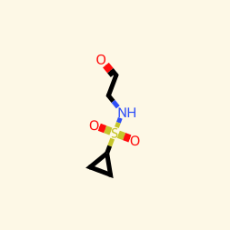 O=CCNS(=O)(=O)C1CC1